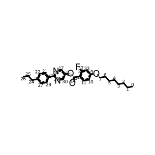 CCCCCCCCOc1ccc(C(=O)Oc2cnc(-c3ccc(CCC)cc3)nc2)c(F)c1